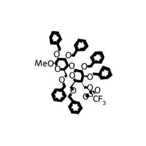 CO[C@H]1O[C@H](COCc2ccccc2)[C@@H](O[C@@H]2O[C@H](COCc3ccccc3)[C@@H](COS(=O)(=O)C(F)(F)F)[C@H](OCc3ccccc3)[C@H]2OCc2ccccc2)[C@H](OCc2ccccc2)[C@H]1OCc1ccccc1